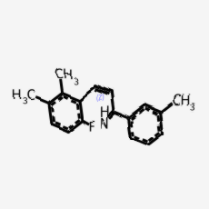 Cc1cccc(C(=N)/C=C\c2c(F)ccc(C)c2C)c1